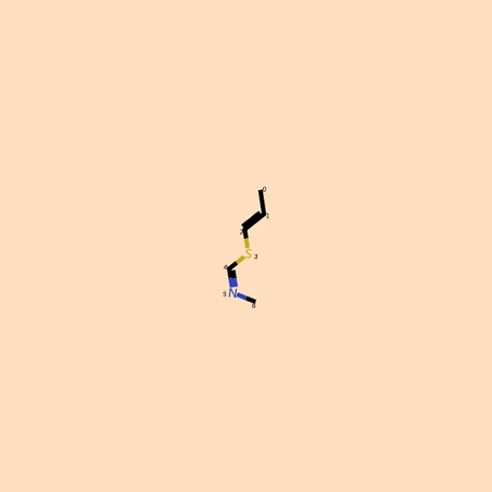 C/C=C/S/C=N\C